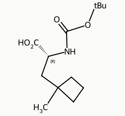 CC1(C[C@@H](NC(=O)OC(C)(C)C)C(=O)O)CCC1